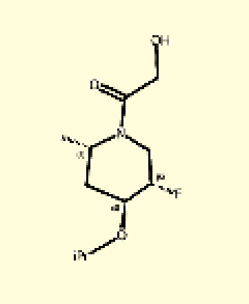 CC(C)O[C@H]1C[C@H](C)N(C(=O)CO)C[C@@H]1F